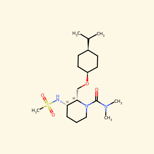 CC(C)[C@H]1CC[C@@H](OC[C@H]2[C@@H](NS(C)(=O)=O)CCCN2C(=O)N(C)C)CC1